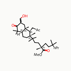 CCCC(C)(C)CC[C@@](C)(CCC(C)(C)[C@]1(C)CC[C@H]2C(C)(C)C(=O)C(=CO)C[C@]2(C)[C@H]1CC(C)=O)C(=O)OC